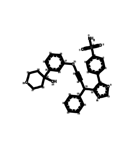 NS(=O)(=O)c1ccc(-c2ocnc2C(C#COc2cccc(C3(O)CCOCC3)c2)c2ccccc2)cc1